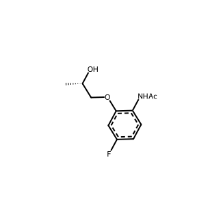 CC(=O)Nc1ccc(F)cc1OC[C@H](C)O